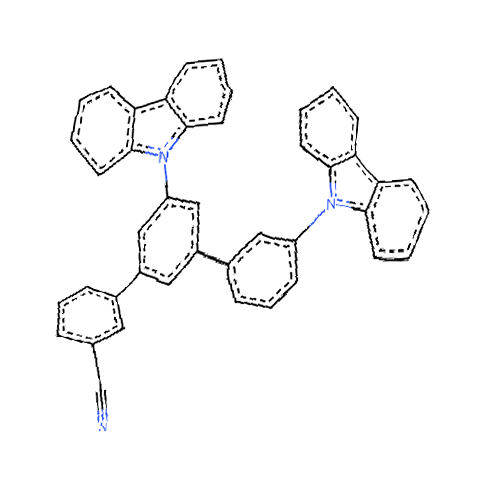 N#Cc1cccc(-c2cc(-c3cccc(-n4c5ccccc5c5ccccc54)c3)cc(-n3c4ccccc4c4ccccc43)c2)c1